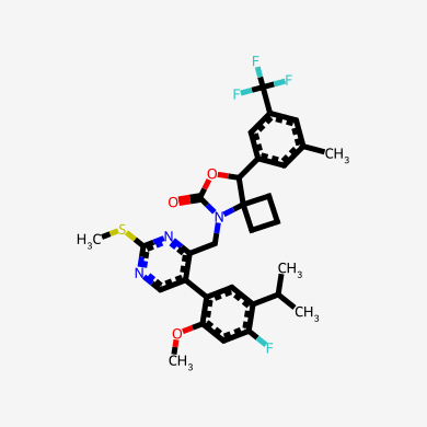 COc1cc(F)c(C(C)C)cc1-c1cnc(SC)nc1CN1C(=O)OC(c2cc(C)cc(C(F)(F)F)c2)C12CCC2